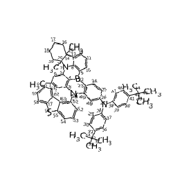 Cc1cc2c3c(c1)N1c4c(cccc4C4(C)CCCCC14C)B3c1ccc(N(c3ccc(C(C)(C)C)cc3)c3ccc(C(C)(C)C)cc3)cc1N2c1cccc2sc3ccccc3c12